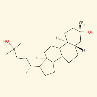 C[C@H](CCC(C)(C)O)C1CCC2C3CC[C@H]4C[C@](O)(C(F)(F)F)CC[C@@H]4C3CC[C@@]21C